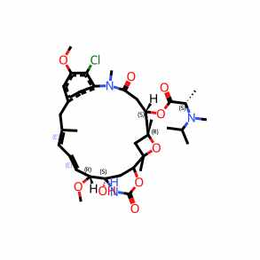 COc1cc2cc(c1Cl)N(C)C(=O)C[C@H](OC(=O)[C@H](C)N(C)C(C)C)[C@@]1(C)CC(C)(O1)C1C[C@@](O)(NC(=O)O1)[C@H](OC)/C=C/C=C(\C)C2